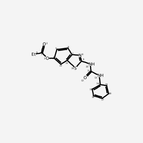 CCC(=O)Oc1ccc2nc(NC(=O)Nc3ccccc3)sc2c1